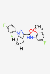 COc1ccc(F)cc1NC(=O)c1nn(-c2ccc(F)cc2F)c2c1C[C@H]1C[C@@H]21